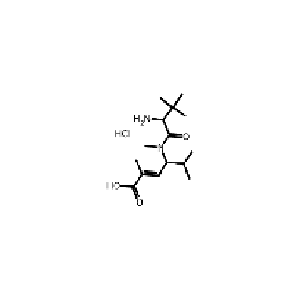 C/C(=C\[C@H](C(C)C)N(C)C(=O)[C@@H](N)C(C)(C)C)C(=O)O.Cl